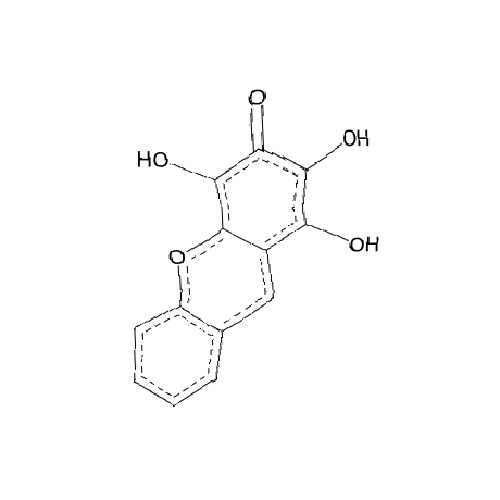 O=c1c(O)c2oc3ccccc3cc-2c(O)c1O